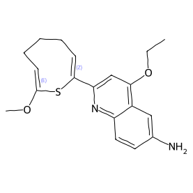 CCOc1cc(/C2=C/CCC/C=C(\OC)S2)nc2ccc(N)cc12